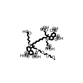 COCCOCCOCCOCCC1(C)\C(=C/C=C/C=C/C=C/C2=[N+](CCCS(=O)(=O)O)c3ccc4c(S(=O)(=O)O)cc(S(=O)(=O)O)cc4c3C2(C)CCCS(=O)(=O)O)N(CCCCCC(=O)O)c2ccc3c(S(=O)(=O)O)cc(S(=O)(=O)O)cc3c21